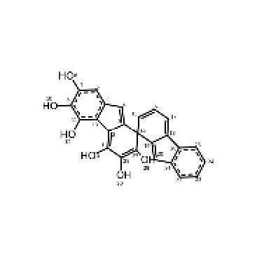 OC1=C2C(=Cc3cc(O)c(O)c(O)c32)C2(C=CC=C3C2=Cc2ccccc23)C(O)=C1O